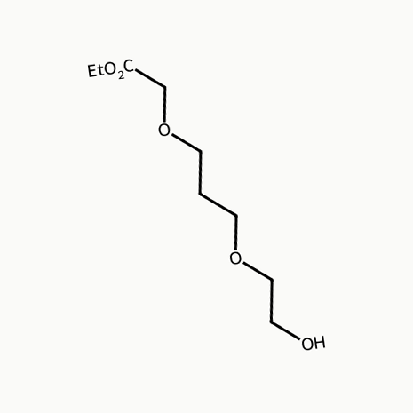 CCOC(=O)COCCCOCCO